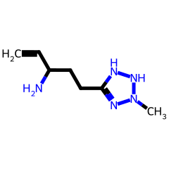 C=CC(N)CCC1=NN(C)NN1